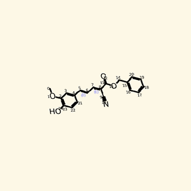 COc1cc(/C=C/C=C(\C#N)C(=O)OCc2ccccc2)ccc1O